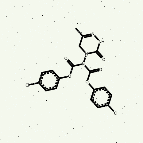 CC1=NNC(=O)N(N(C(=O)Oc2ccc(Cl)cc2)C(=O)Oc2ccc(Cl)cc2)C1